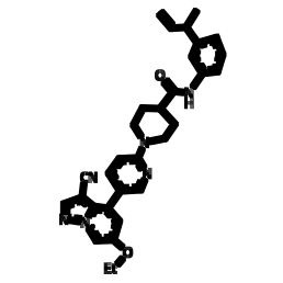 C=CC(C)c1cccc(NC(=O)C2CCN(c3ccc(-c4cc(OCC)cn5ncc(C#N)c45)cn3)CC2)c1